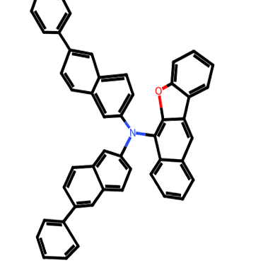 c1ccc(-c2ccc3cc(N(c4ccc5cc(-c6ccccc6)ccc5c4)c4c5ccccc5cc5c4oc4ccccc45)ccc3c2)cc1